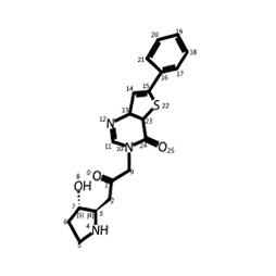 O=C(C[C@H]1NCC[C@@H]1O)CN1C=NC2C=C(c3ccccc3)SC2C1=O